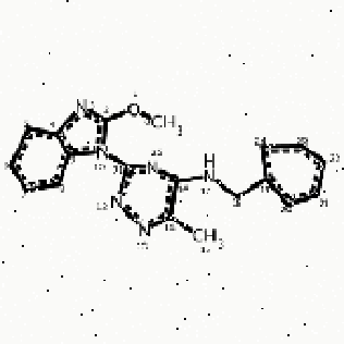 COc1nc2ccccc2n1-c1nnc(C)c(NCc2ccccc2)n1